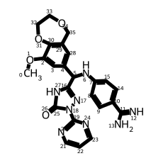 COc1cc(C(Nc2ccc(C(=N)N)cc2)c2nn(-c3ncccn3)c(=O)[nH]2)cc2c1OCCOC2